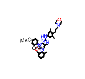 COc1ccc(N2C(=O)N(c3c(C)cccc3C)Cc3cnc(Nc4cc(C)c(CCCN5CCOCC5)c(C)c4)nc32)c(OC)c1